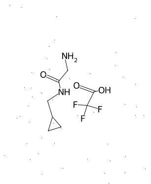 NCC(=O)NCC1CC1.O=C(O)C(F)(F)F